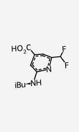 CC[C@H](C)Nc1cc(C(=O)O)cc(C(F)F)n1